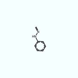 C=NNc1cc[c]cc1